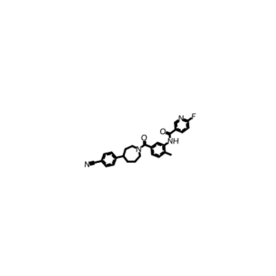 Cc1ccc(C(=O)N2CCCC(c3ccc(C#N)cc3)CC2)cc1NC(=O)c1ccc(F)nc1